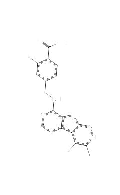 Cc1nnc2sc3c(NCc4ccc(C(=O)O)c(Cl)c4)ncnc3c2c1C